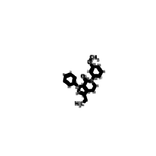 CCc1nn(-c2ccccc2)c2c1CCN(c1cccc(OC)c1)C2=O